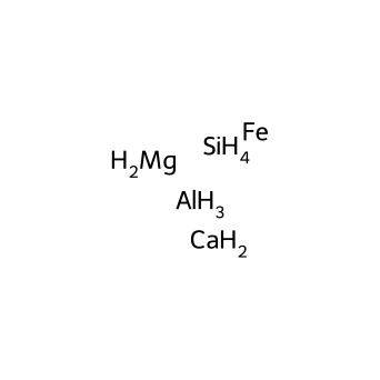 [AlH3].[CaH2].[Fe].[MgH2].[SiH4]